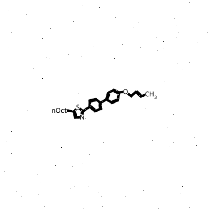 C/C=C/COc1ccc(-c2ccc(-c3ncc(CCCCCCCC)s3)cc2)cc1